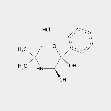 C[C@H]1NC(C)(C)CO[C@@]1(O)c1ccccc1.Cl